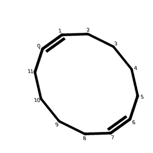 [C]1=CCCCCC=CCCCC1